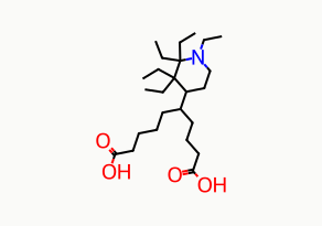 CCN1CCC(C(CCCCC(=O)O)CCCC(=O)O)C(CC)(CC)C1(CC)CC